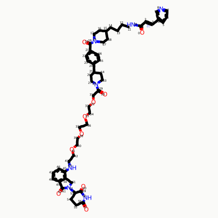 O=C(/C=C/c1cccnc1)NCCCCC1CCN(C(=O)c2ccc(C3CCN(C(=O)COCCOCCOCCOCCNc4cccc5c4CN(C4CCC(=O)NC4=O)C5=O)CC3)cc2)CC1